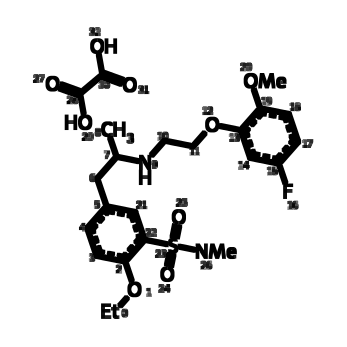 CCOc1ccc(CC(C)NCCOc2cc(F)ccc2OC)cc1S(=O)(=O)NC.O=C(O)C(=O)O